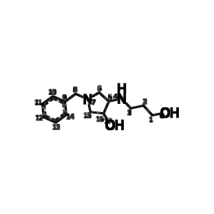 OCCCNC1CN(Cc2ccccc2)CC1O